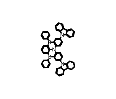 C1=CCC(B2c3cc(N4C5=C(CCCC5)C5C=CC=CC54)ccc3N3c4ccc(-n5c6ccccc6c6ccccc65)cc4B(c4ccccc4)c4cccc2c43)C=C1